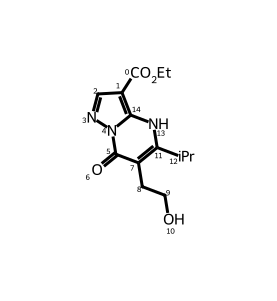 CCOC(=O)c1cnn2c(=O)c(CCO)c(C(C)C)[nH]c12